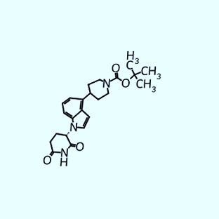 CC(C)(C)OC(=O)N1CCC(c2cccc3c2ccn3[C@H]2CCC(=O)NC2=O)CC1